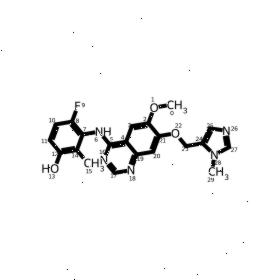 COc1cc2c(Nc3c(F)ccc(O)c3C)ncnc2cc1OCc1cncn1C